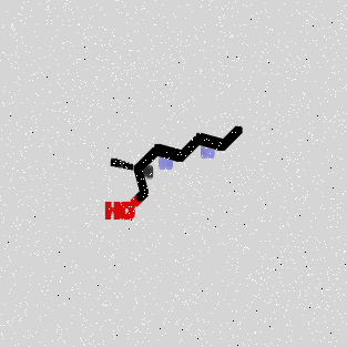 C/C=C/C=C/[C@@H](C)CO